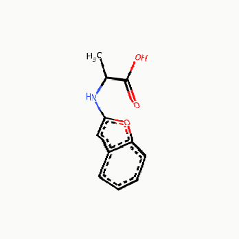 CC(Nc1cc2ccccc2o1)C(=O)O